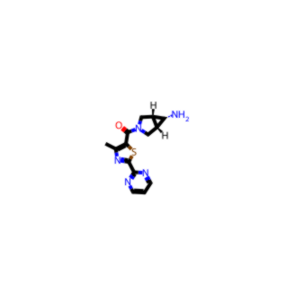 Cc1nc(-c2ncccn2)sc1C(=O)N1C[C@@H]2[C@H](N)[C@@H]2C1